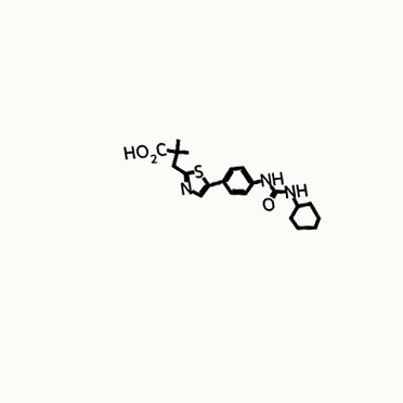 CC(C)(Cc1ncc(-c2ccc(NC(=O)NC3CCCCC3)cc2)s1)C(=O)O